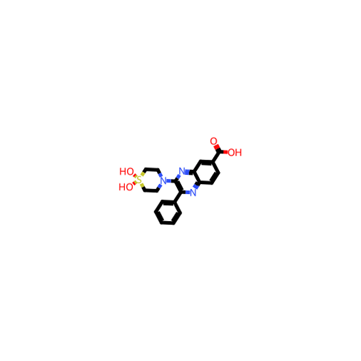 O=C(O)c1ccc2nc(-c3ccccc3)c(N3CCS(O)(O)CC3)nc2c1